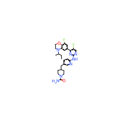 CCC(C)N1CCOc2c(F)cc(-c3nc(Nc4ccc(CC5CCN(C(N)=O)CC5)cn4)ncc3F)cc21